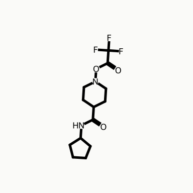 O=C(NC1CCCC1)C1CCN(OC(=O)C(F)(F)F)CC1